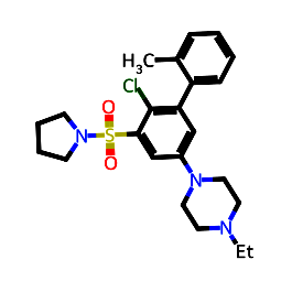 CCN1CCN(c2cc(-c3ccccc3C)c(Cl)c(S(=O)(=O)N3CCCC3)c2)CC1